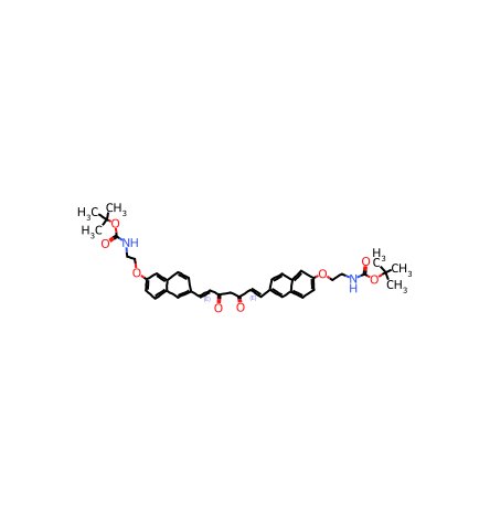 CC(C)(C)OC(=O)NCCOc1ccc2cc(/C=C/C(=O)CC(=O)/C=C/c3ccc4cc(OCCNC(=O)OC(C)(C)C)ccc4c3)ccc2c1